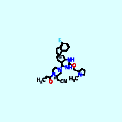 C=CC(=O)N1CCN(C2NC(OC[C@H]3CCCN3C)NC3C[C@@]4(CCc5c(F)cccc54)CCC32)C[C@H]1CC#N